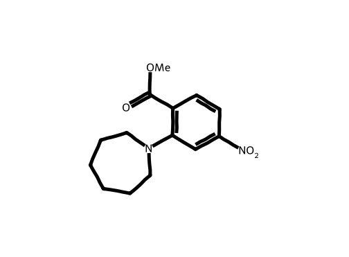 COC(=O)c1ccc([N+](=O)[O-])cc1N1CCCCCC1